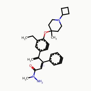 C=C(/C(=C\C(=O)N(C)N)c1cc#ccc1)c1c#cc(OC2(C)CCN(C3CCC3)CC2)c(CC)c1